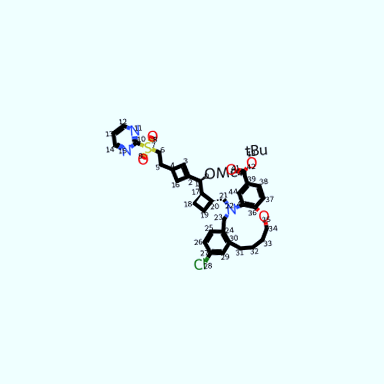 CO[C@H](C1=CC(CCS(=O)(=O)c2ncccn2)C1)[C@@H]1CC[C@H]1CN1Cc2ccc(Cl)cc2CCCCOc2ccc(C(=O)OC(C)(C)C)cc21